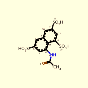 CC(=S)Nc1cc(S(=O)(=O)O)cc2cc(S(=O)(=O)O)cc(S(=O)(=O)O)c12